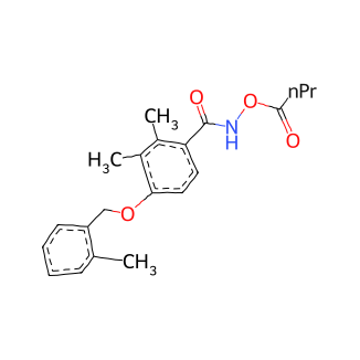 CCCC(=O)ONC(=O)c1ccc(OCc2ccccc2C)c(C)c1C